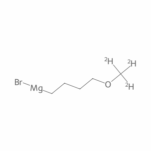 [2H]C([2H])([2H])OCCC[CH2][Mg][Br]